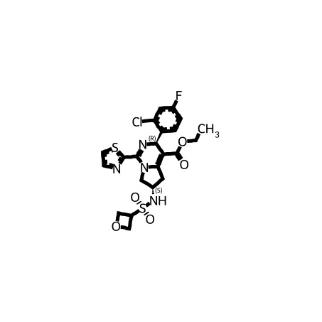 CCOC(=O)C1=C2C[C@H](NS(=O)(=O)C3COC3)CN2C(c2nccs2)=N[C@H]1c1ccc(F)cc1Cl